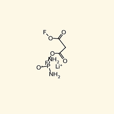 NP(N)[O-].O=C(CC(=O)OF)OF.[Li+]